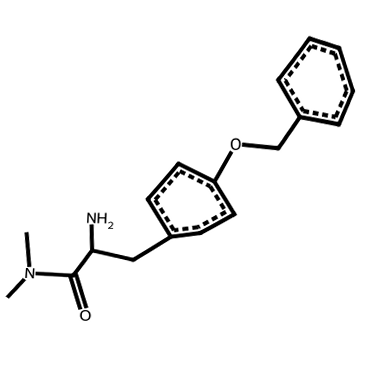 CN(C)C(=O)C(N)Cc1ccc(OCc2ccccc2)cc1